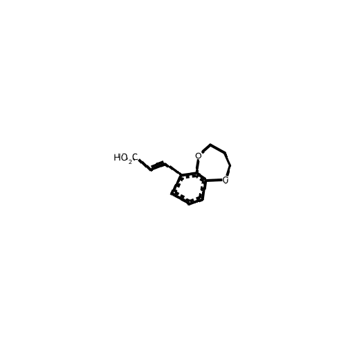 O=C(O)C=Cc1cccc2c1OCCCO2